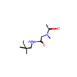 CC(=O)N(C)CC(=O)NCC(C)(C)C